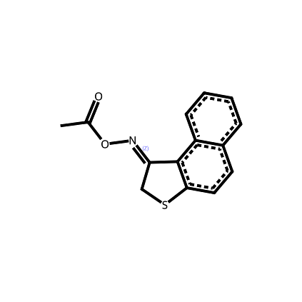 CC(=O)O/N=C1\CSc2ccc3ccccc3c21